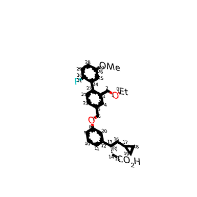 CCOCc1cc(COc2cccc([C@@H](CC(=O)O)CC3CC3)c2)ccc1-c1cc(OC)ccc1F